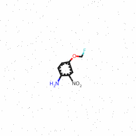 Nc1ccc(OCF)cc1[N+](=O)[O-]